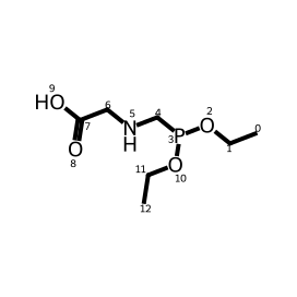 CCOP(CNCC(=O)O)OCC